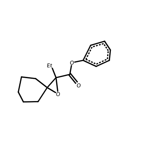 CCC1(C(=O)Oc2ccccc2)OC12CCCCC2